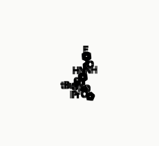 CC(C)C[C@@H](C(=O)OC1CCCC1)N(Cc1ccc(NC(=N)CC(=O)c2ccc(F)cc2)cc1)C(=O)OC(C)(C)C